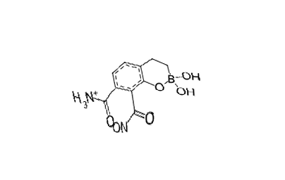 [NH3+]C(=O)c1ccc2c(c1C(=O)N=O)O[B-](O)(O)CC2